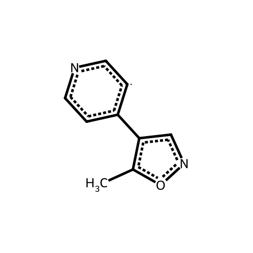 Cc1oncc1-c1[c]cncc1